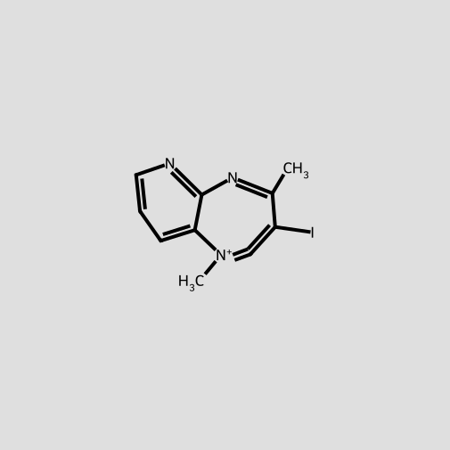 CC1=Nc2ncccc2[N+](C)=C=C1I